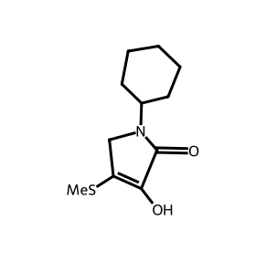 CSC1=C(O)C(=O)N(C2CCCCC2)C1